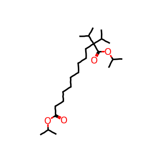 CC(C)OC(=O)CCCCCCCCCC(C(=O)OC(C)C)(C(C)C)C(C)C